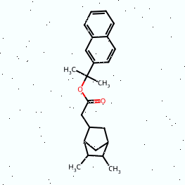 CC1C2CC(CC(=O)OC(C)(C)c3ccc4ccccc4c3)C(C2)C1C